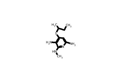 CCC(C)Sc1cc(N)nc(NC)c1N